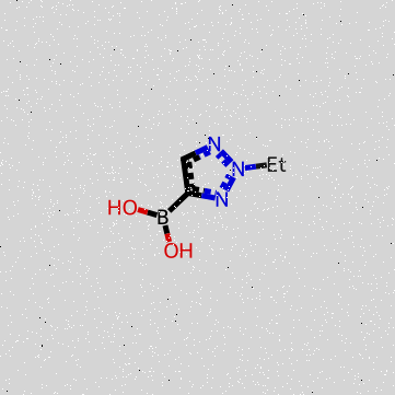 CCn1ncc(B(O)O)n1